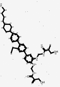 C=C(CO)C(=O)OCOc1ccc(-c2ccc(-c3ccc(C4CCC(CCCCF)CC4)cc3)c(CC)c2)cc1OCOC(=O)C(C)CO